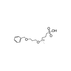 C[C@@H](CCCS(=O)(=O)O)OCCCOCc1ccccc1